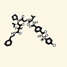 CC(C)[C@H](NC(=O)c1ccc(C(=O)NS(=O)(=O)c2ccc(Cl)cc2)cc1)C(=O)NCC(=O)N(C1CCCC1)[C@H](C(=O)C(F)(F)C(=O)NCCc1ccccc1)C(C)C